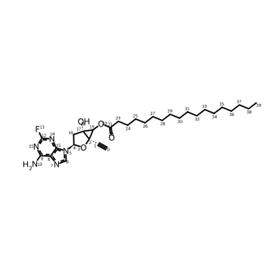 C#C[C@]12O[C@@H](n3cnc4c(N)nc(F)nc43)C[C@@]1(O)C2OC(=O)CCCCCCCCCCCCCCCCC